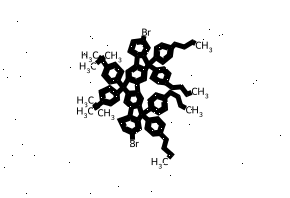 CCCCc1ccc(C2(c3ccc(CCCC)cc3)c3cc(Br)ccc3-c3cc4c(cc32)-c2cc3c(cc2C4(c2ccc(C(C)(C)C)cc2)c2ccc(C(C)(C)C)cc2)-c2ccc(Br)cc2C3(c2ccc(CCCC)cc2)c2ccc(CCCC)cc2)cc1